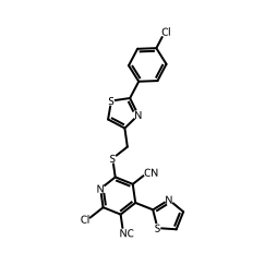 [C-]#[N+]c1c(Cl)nc(SCc2csc(-c3ccc(Cl)cc3)n2)c(C#N)c1-c1nccs1